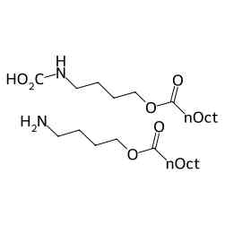 CCCCCCCCC(=O)OCCCCN.CCCCCCCCC(=O)OCCCCNC(=O)O